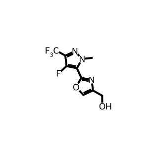 Cn1nc(C(F)(F)F)c(F)c1-c1nc(CO)co1